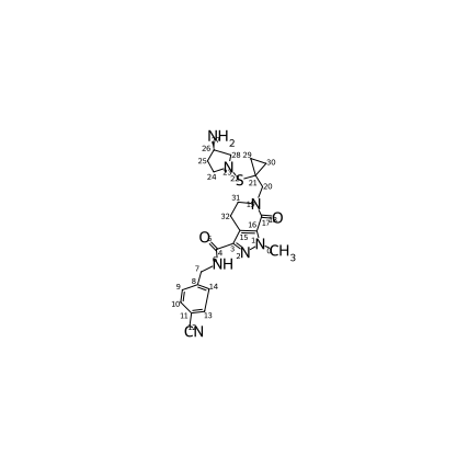 Cn1nc(C(=O)NCc2ccc(C#N)cc2)c2c1C(=O)N(CC1(SN3CC[C@@H](N)C3)CC1)CC2